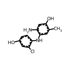 Cc1cc(Nc2ccc(O)cc2Cl)c(N)cc1O